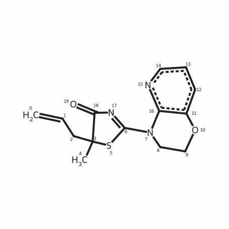 C=CCC1(C)SC(N2CCOc3cccnc32)=NC1=O